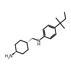 CCC(C)(C)c1ccc(NC[C@H]2CC[C@H](N)CC2)cc1